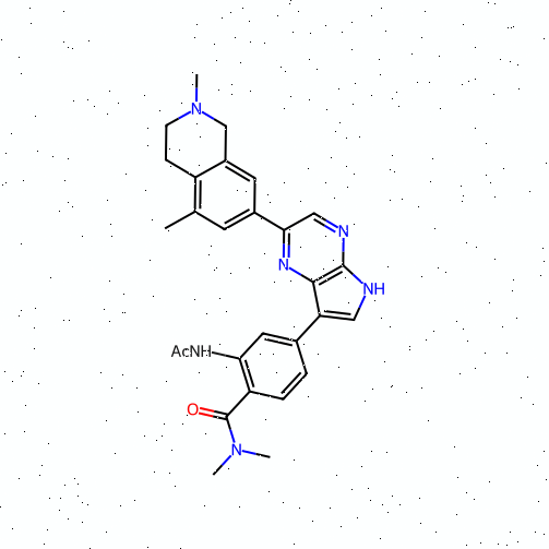 CC(=O)Nc1cc(-c2c[nH]c3ncc(-c4cc(C)c5c(c4)CN(C)CC5)nc23)ccc1C(=O)N(C)C